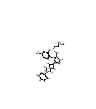 COCCN1Cc2cc(Cl)ccc2-n2c(nnc2C2CC3(C2)CN(c2cnccn2)C3)C1